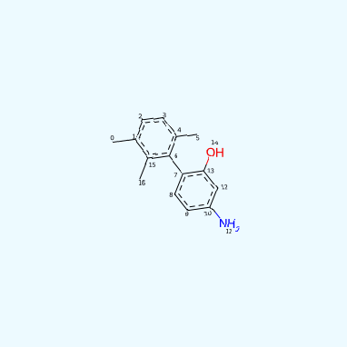 Cc1ccc(C)c(-c2ccc(N)cc2O)c1C